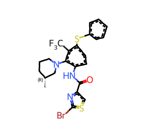 C[C@@H]1CCCN(c2c(NC(=O)c3csc(Br)n3)ccc(Sc3ccccc3)c2C(F)(F)F)C1